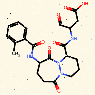 Cc1ccccc1C(=O)NC1CCC(=O)N2CCCC(C(=O)NC(C=O)CC(=O)O)N2C1=O